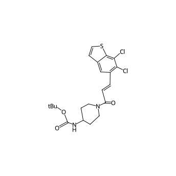 CC(C)(C)OC(=O)NC1CCN(C(=O)C=Cc2cc3ccsc3c(Cl)c2Cl)CC1